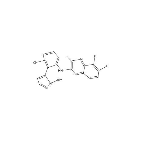 CCCn1nccc1-c1c(Cl)cccc1Nc1cc2ccc(F)c(F)c2nc1C